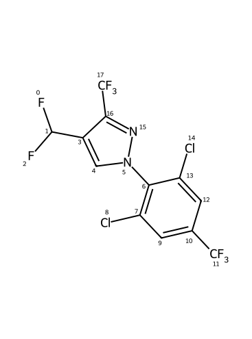 FC(F)c1cn(-c2c(Cl)cc(C(F)(F)F)cc2Cl)nc1C(F)(F)F